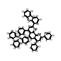 c1ccc(-c2cc(-c3ccccn3)nc3c2ccc2c(-c4cccc([Si](c5ccccc5)(c5ccccc5)c5ccccc5)c4)cc(-c4cccc5c4sc4ccccc45)nc23)cc1